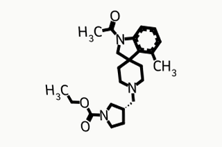 CCOC(=O)N1CC[C@@H](CN2CCC3(CC2)CN(C(C)=O)c2cccc(C)c23)C1